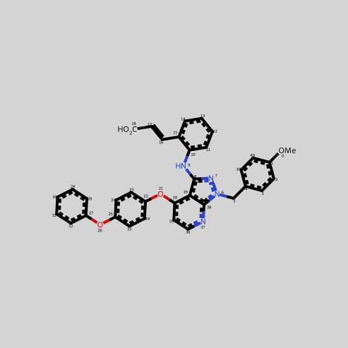 COc1ccc(Cn2nc(Nc3ccccc3C=CC(=O)O)c3c(Oc4ccc(Oc5ccccc5)cc4)ccnc32)cc1